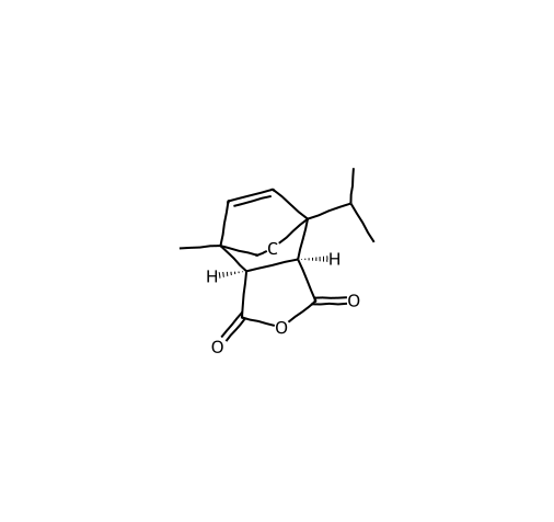 CC(C)C12C=CC(C)(CC1)[C@@H]1C(=O)OC(=O)[C@@H]12